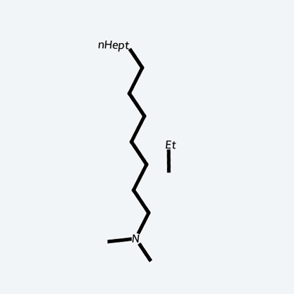 CCC.CCCCCCCCCCCCCCN(C)C